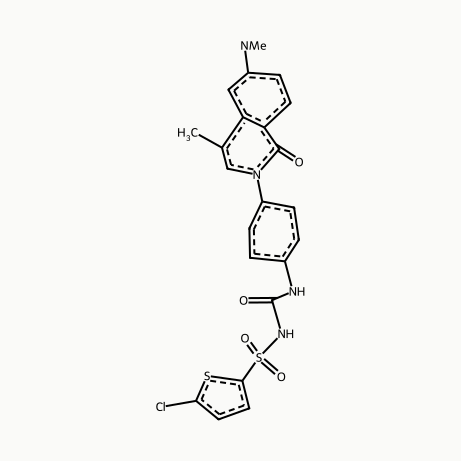 CNc1ccc2c(=O)n(-c3ccc(NC(=O)NS(=O)(=O)c4ccc(Cl)s4)cc3)cc(C)c2c1